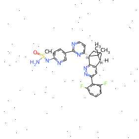 CC1(C)[C@H]2CC[C@]1(c1ccnc(-c3ccc(N=S(C)(N)=O)nc3)n1)c1nnc(-c3c(F)cccc3F)cc12